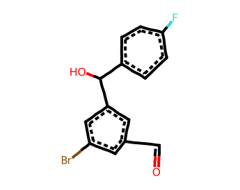 O=Cc1cc(Br)cc(C(O)c2ccc(F)cc2)c1